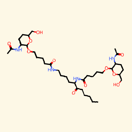 CCCCCC(=O)C(CCCCNC(=O)CCCCOC1OC(CO)CCC1NC(C)=O)NC(=O)CCCCOC1OC(CO)CCC1NC(C)=O